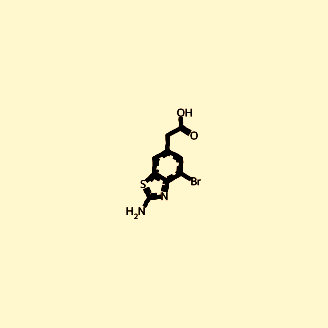 Nc1nc2c(Br)cc(CC(=O)O)cc2s1